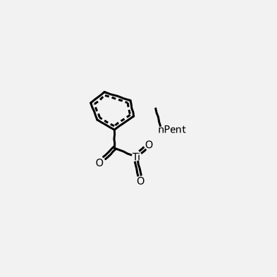 CCCCCC.O=[C](c1ccccc1)[Ti](=[O])=[O]